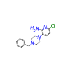 Nc1nc(Cl)ccc1N1CCN(Cc2ccccc2)CC1